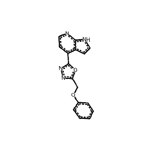 c1ccc(OCc2nnc(-c3ccnc4[nH]ccc34)o2)cc1